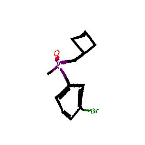 CP(=O)(CC1CCC1)c1cccc(Br)c1